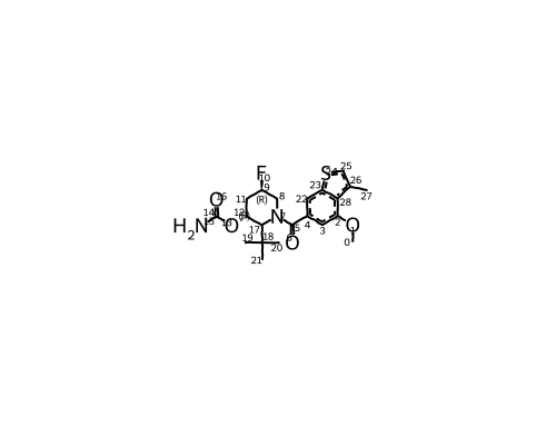 COc1cc(C(=O)N2C[C@H](F)C[C@@H](OC(N)=O)C2C(C)(C)C)cc2scc(C)c12